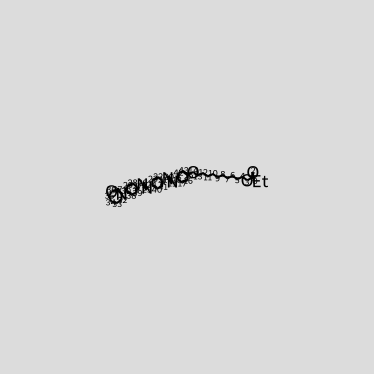 CCC(=O)OCCCCCCCCCCOc1ccc(N=Nc2ccc(N=Nc3ccc(N4CCCCOC4)cc3)cc2)cc1